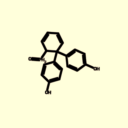 O=[PH2]C1C=CC=CC1(c1ccc(O)cc1)c1ccc(O)cc1